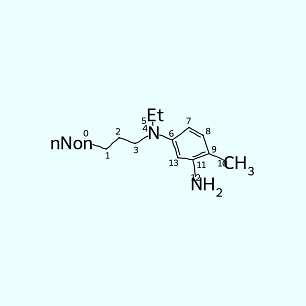 CCCCCCCCCCCCN(CC)c1ccc(C)c(N)c1